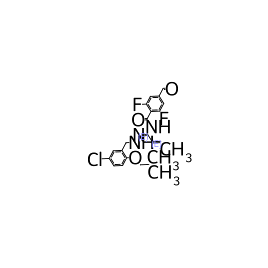 C/C=C/C(=N\NCc1cc(Cl)ccc1OCC(C)C)NC(=O)c1c(F)cc(C=O)cc1F